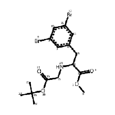 COC(=O)C(Cc1cc(Br)cc(Br)c1)NCC(=O)OC(C)(C)C